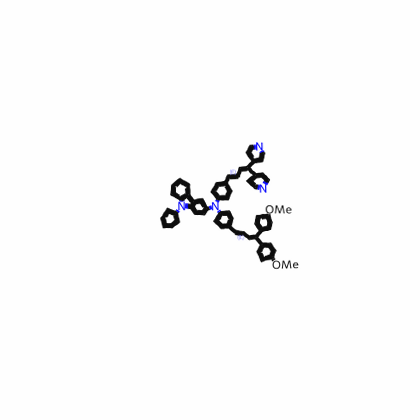 COc1ccc(C(=C/C=C/c2ccc(N(c3ccc(/C=C/C=C(c4ccncc4)c4ccncc4)cc3)c3ccc4c(c3)c3ccccc3n4-c3ccccc3)cc2)c2ccc(OC)cc2)cc1